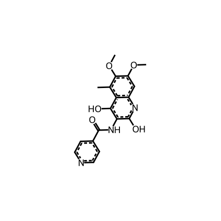 COc1cc2nc(O)c(NC(=O)c3ccncc3)c(O)c2c(C)c1OC